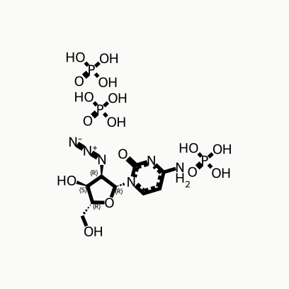 O=P(O)(O)O.O=P(O)(O)O.O=P(O)(O)O.[N-]=[N+]=N[C@@H]1[C@H](O)[C@@H](CO)O[C@H]1n1ccc(N)nc1=O